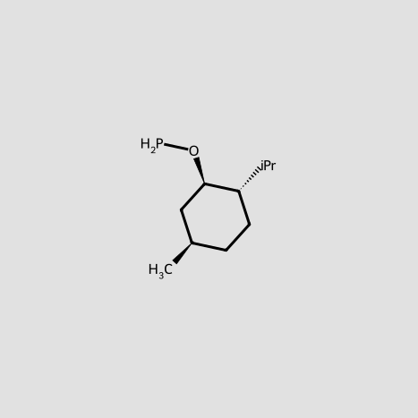 CC(C)[C@@H]1CC[C@@H](C)C[C@H]1OP